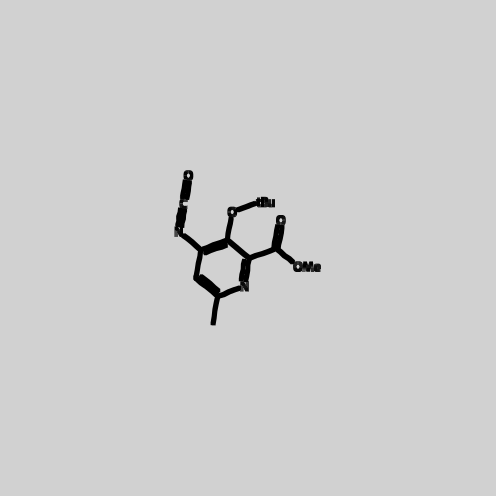 COC(=O)c1nc(C)cc(N=C=O)c1OC(C)(C)C